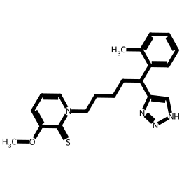 COc1cccn(CCCCC(c2c[nH]nn2)c2ccccc2C)c1=S